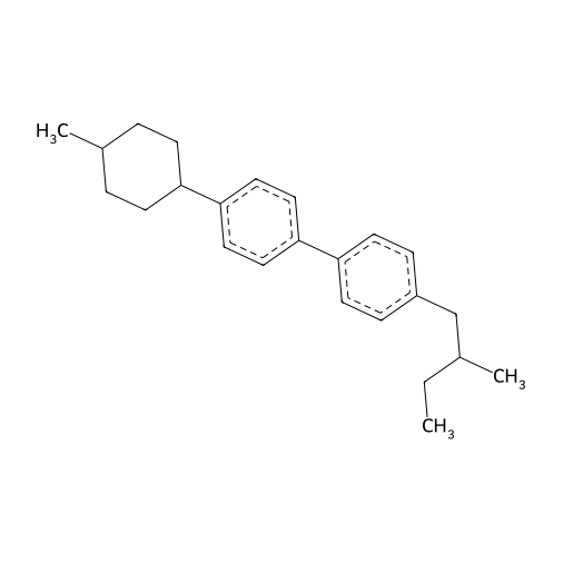 CCC(C)Cc1ccc(-c2ccc(C3CCC(C)CC3)cc2)cc1